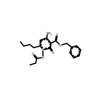 CCCCc1cc(N)c(C(=O)OCc2ccccc2)c(=O)n1OC(=O)CC